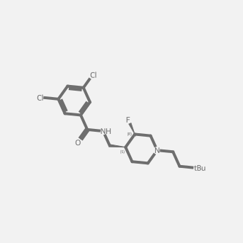 CC(C)(C)CCN1CC[C@@H](CNC(=O)c2cc(Cl)cc(Cl)c2)[C@@H](F)C1